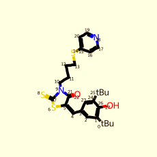 CC(C)(C)c1cc(C=C2SC(=S)N(CCCCSc3ccncc3)C2=O)cc(C(C)(C)C)c1O